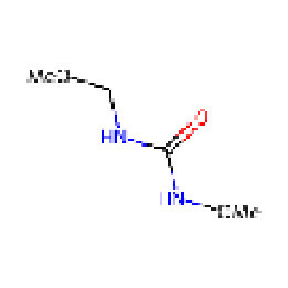 COCNC(=O)NOC